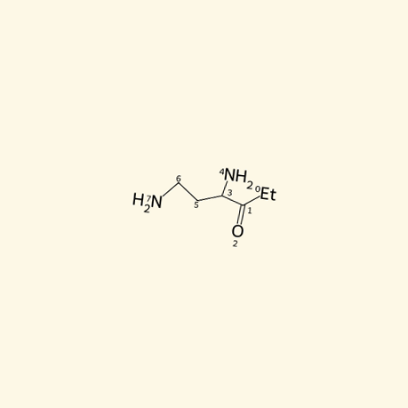 CCC(=O)C(N)CCN